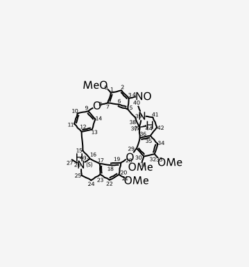 COc1cc(N=O)c2cc1Oc1ccc(cc1)C[C@H]1c3cc(c(OC)cc3CCN1C)Oc1c(OC)c(OC)cc3c1[C@H](C2)N(C)CC3